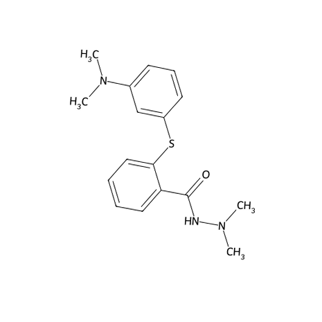 CN(C)NC(=O)c1ccccc1Sc1cccc(N(C)C)c1